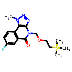 Cn1nnc2c1c1ccc(F)cc1c(=O)n2COCCS(C)(C)C